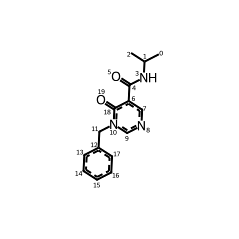 CC(C)NC(=O)c1cncn(Cc2ccccc2)c1=O